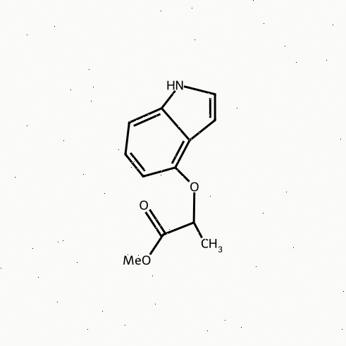 COC(=O)C(C)Oc1cccc2[nH]ccc12